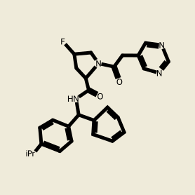 CC(C)c1ccc(C(NC(=O)C2CC(F)CN2C(=O)Cc2cncnc2)c2ccccc2)cc1